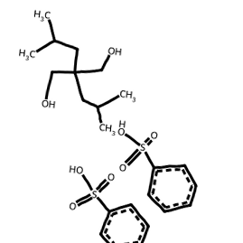 CC(C)CC(CO)(CO)CC(C)C.O=S(=O)(O)c1ccccc1.O=S(=O)(O)c1ccccc1